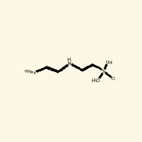 CCCCCCCCNCC[Si](O)(O)CC